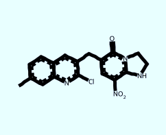 Cc1ccc2cc(Cc3cc([N+](=O)[O-])c4n(c3=O)CCN4)c(Cl)nc2c1